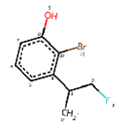 [CH2]C(CF)c1cccc(O)c1Br